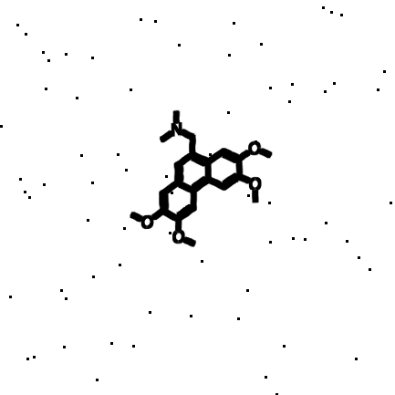 COc1cc2cc(CN(C)C)c3cc(OC)c(OC)cc3c2cc1OC